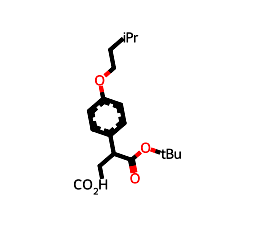 CC(C)CCOc1ccc(C(CC(=O)O)C(=O)OC(C)(C)C)cc1